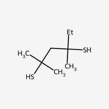 CCC(C)(S)CC(C)(C)S